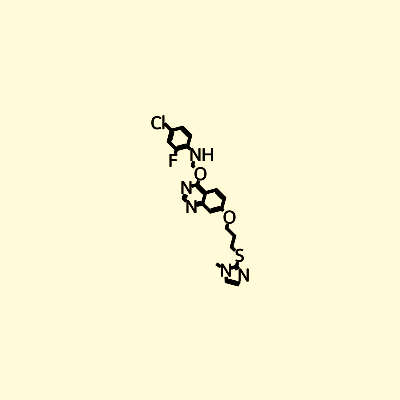 Cn1ccnc1SCCCOc1ccc2c(OCNc3ccc(Cl)cc3F)ncnc2c1